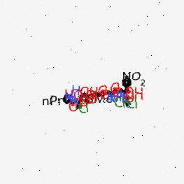 CCCC1CC(C(=O)NC(C(C)Cl)[C@H]2O[C@](C)(SC)[C@H](OC(=O)CCC(=O)OCC(N)C(=O)OCC(NC(=O)C(C)(Cl)Cl)C(O)c3ccc([N+](=O)[O-])cc3)[C@@H](O)[C@H]2O)N(C)C1